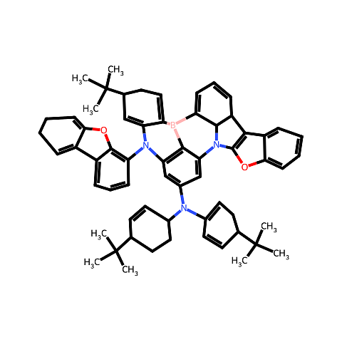 CC(C)(C)C1C=CC(N(c2cc3c4c(c2)N2c5oc6ccccc6c5C5C=CC=C(B4C4=CCC(C(C)(C)C)C=C4N3c3cccc4c6c(oc34)=CCCC=6)C52)C2C=CC(C(C)(C)C)CC2)=CC1